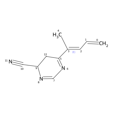 C=C/C=C(\C)C1=NC=NC(C#N)C1